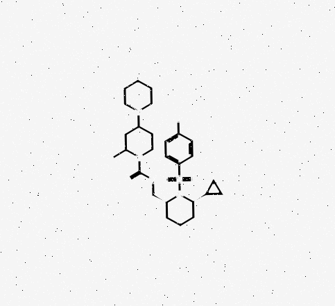 CC1CC(N2CCCCC2)CCN1C(=O)OC[C@@H]1CCC[C@H](C2CC2)N1S(=O)(=O)c1ccc(Cl)cc1